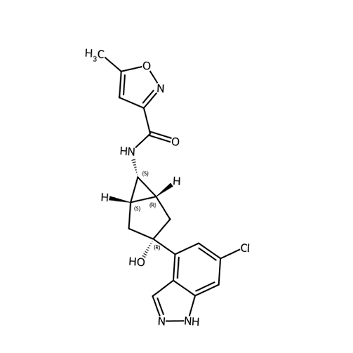 Cc1cc(C(=O)N[C@@H]2[C@@H]3C[C@@](O)(c4cc(Cl)cc5[nH]ncc45)C[C@@H]32)no1